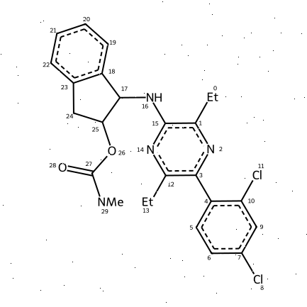 CCc1nc(-c2ccc(Cl)cc2Cl)c(CC)nc1NC1c2ccccc2CC1OC(=O)NC